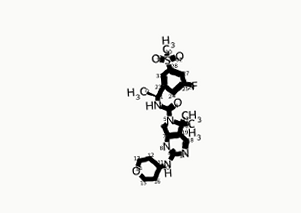 C[C@H](NC(=O)N1Cc2nc(NC3CCOCC3)ncc2C1(C)C)c1cc(F)cc(S(C)(=O)=O)c1